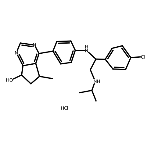 CC(C)NCC(Nc1ccc(-c2ncnc3c2C(C)CC3O)cc1)c1ccc(Cl)cc1.Cl